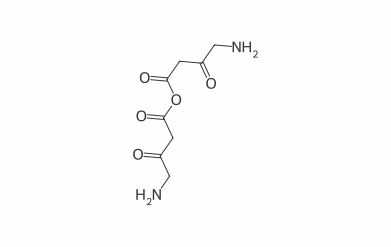 NCC(=O)CC(=O)OC(=O)CC(=O)CN